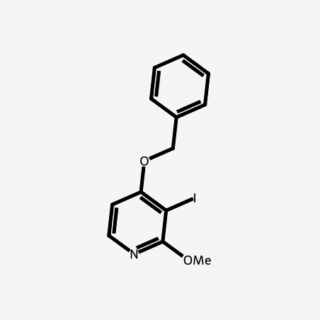 COc1nccc(OCc2ccccc2)c1I